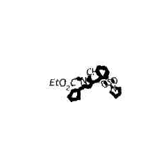 CCOC(=O)Cn1c(C2CCCC2)cc(Cc2ccccc2S(=O)(=O)N2CCCC2)c1C